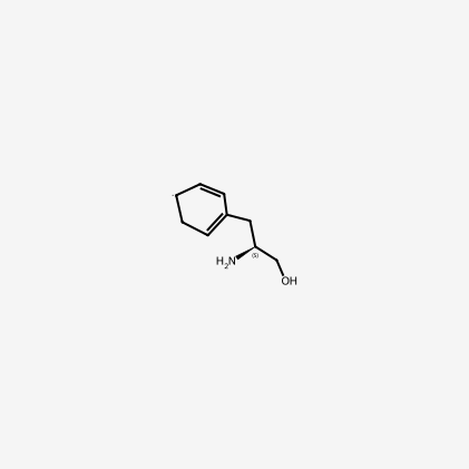 N[C@H](CO)CC1=CC[CH]C=C1